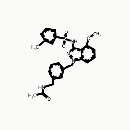 COc1cccc2c1c(NS(=O)(=O)c1cccc(C)c1)nn2Cc1cccc(CNC(C)=O)c1